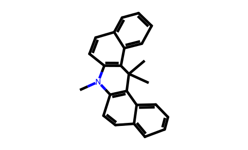 CN1c2ccc3ccccc3c2C(C)(C)c2c1ccc1ccccc21